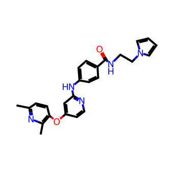 Cc1ccc(Oc2ccnc(Nc3ccc(C(=O)NCCn4cccc4)cc3)c2)c(C)n1